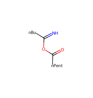 CCCCCC(=O)OC(=N)CCCC